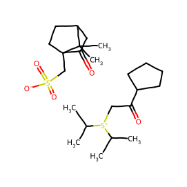 CC(C)[S+](CC(=O)C1CCCC1)C(C)C.CC1(C)C2CCC1(CS(=O)(=O)[O-])C(=O)C2